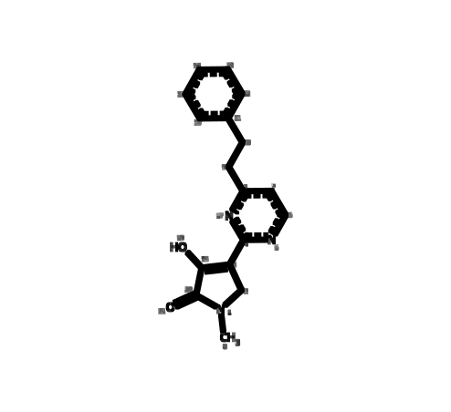 CN1CC(c2nccc(CCc3ccccc3)n2)=C(O)C1=O